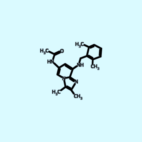 CC(=O)Nc1cc(NCc2c(C)cccc2C)c2nc(C)c(C)n2c1